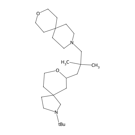 CC(C)(CC1CC2(CCO1)CCN(C(C)(C)C)C2)CN1CCC2(CCOCC2)CC1